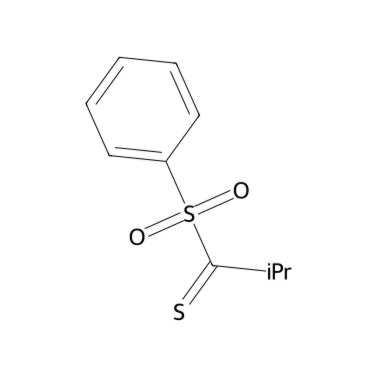 CC(C)C(=S)S(=O)(=O)c1ccccc1